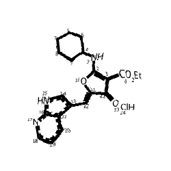 CCOC(=O)C1=C(NC2CCCCC2)OC(=Cc2c[nH]c3ncccc23)C1=O.Cl